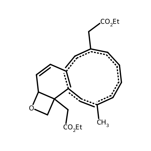 CCOC(=O)Cc1ccccc(C)cc2c(c1)C=CC1OCC21CC(=O)OCC